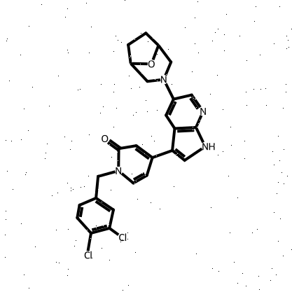 O=c1cc(-c2c[nH]c3ncc(N4CC5CCC(C4)O5)cc23)ccn1Cc1ccc(Cl)c(Cl)c1